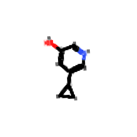 Oc1cncc(C2CC2)c1